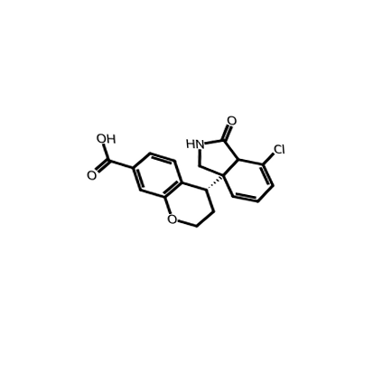 O=C(O)c1ccc2c(c1)OCC[C@H]2C12C=CC=C(Cl)C1C(=O)NC2